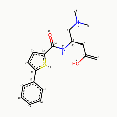 C=C(O)C[C@H](CN(C)C)NC(=O)c1ccc(-c2ccccc2)s1